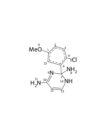 COc1ccc(Cl)c(C2(N)N=C(N)C=CN2)c1